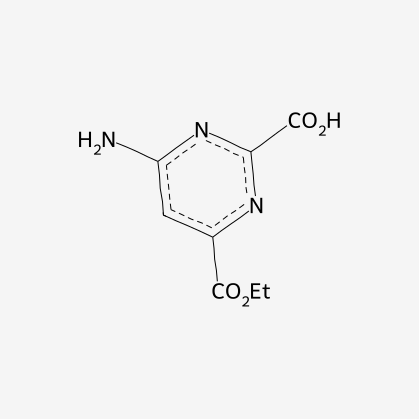 CCOC(=O)c1cc(N)nc(C(=O)O)n1